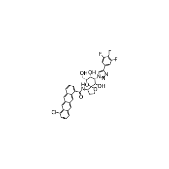 O=C(N[C@@H]1CCO[C@]12O[C@H](CO)[C@H](O)[C@H](n1cc(-c3cc(F)c(F)c(F)c3)nn1)[C@H]2O)c1cccc2cc3cc4c(Cl)cccc4cc3cc12